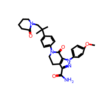 COc1ccc(-n2nc(C(N)=O)c3c2C(=O)N(c2ccc(C(C)(C)CN4CCCCC4=O)cc2)CC3)cc1